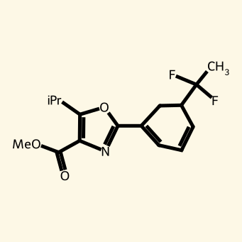 COC(=O)c1nc(C2=CC=CC(C(C)(F)F)C2)oc1C(C)C